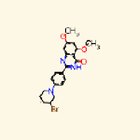 COc1cc(OC)c2c(=O)[nH]c(-c3ccc(N4CC[CH]C(Br)C4)cc3)nc2c1